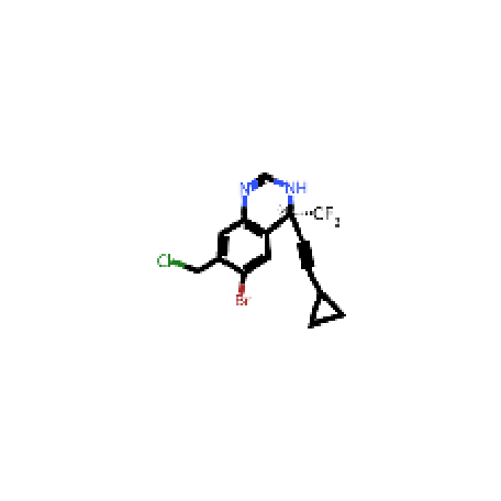 FC(F)(F)[C@@]1(C#CC2CC2)NC=Nc2cc(CCl)c(Br)cc21